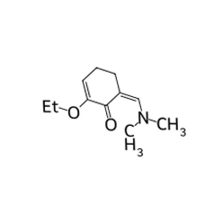 CCOC1=CCC/C(=C/N(C)C)C1=O